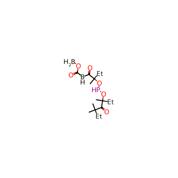 BOC(=O)BC(=O)C(C)(CC)OPOC(C)(CC)C(=O)C(C)(C)CC